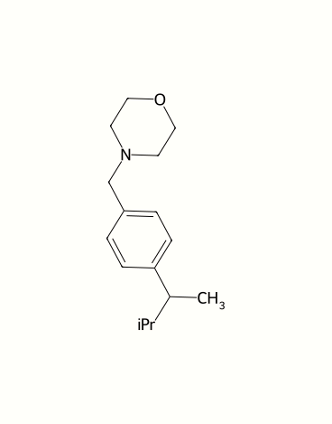 CC(C)C(C)c1ccc(CN2CCOCC2)cc1